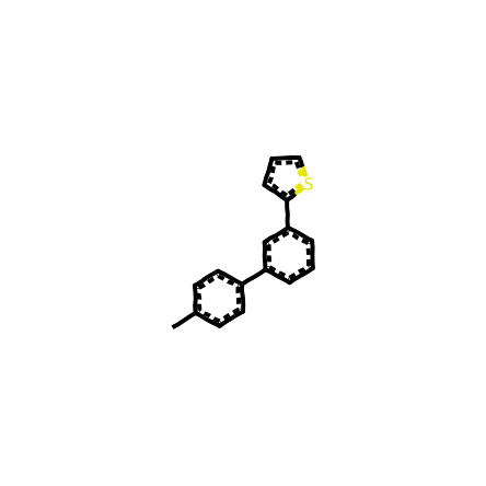 Cc1ccc(-c2cccc(-c3cccs3)c2)cc1